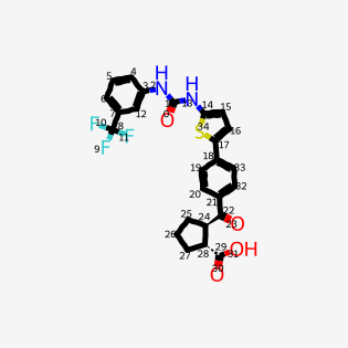 O=C(Nc1cccc(C(F)(F)F)c1)Nc1ccc(-c2ccc(C(=O)[C@@H]3CCC[C@H]3C(=O)O)cc2)s1